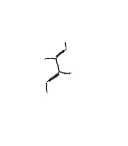 F/C=C(F)/C(F)=C/F